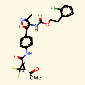 COC(=O)[C@H]1[C@H](C(=O)Nc2ccc(-c3onc(C)c3NC(=O)OCCc3ccccc3Cl)cc2)C1(F)F